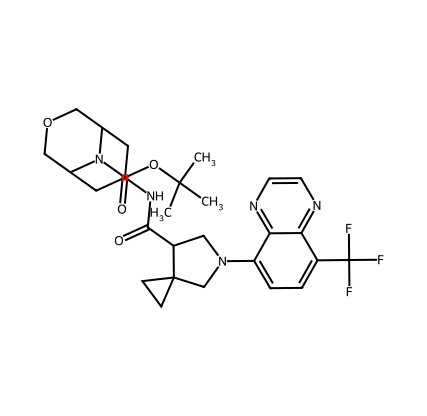 CC(C)(C)OC(=O)N1C2COCC1CC(NC(=O)C1CN(c3ccc(C(F)(F)F)c4nccnc34)CC13CC3)C2